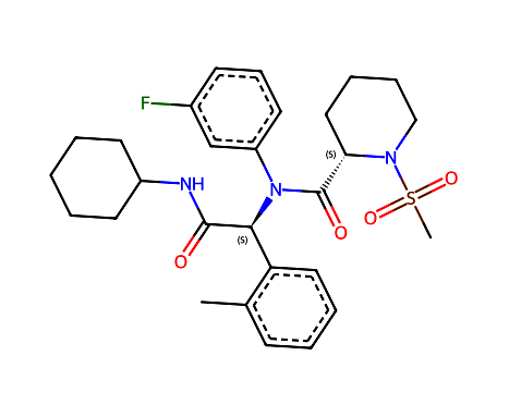 Cc1ccccc1[C@@H](C(=O)NC1CCCCC1)N(C(=O)[C@@H]1CCCCN1S(C)(=O)=O)c1cccc(F)c1